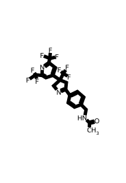 CC(=O)NCc1ccc(C2=NCC(c3cc(C(F)(F)F)nc(C(F)(F)F)c3)(C(F)(F)F)C2)cc1